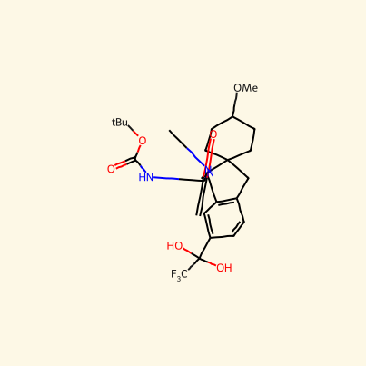 COC1CCC2(CC1)Cc1ccc(C(O)(O)C(F)(F)F)cc1C21N=C(NC(=O)OC(C)(C)C)N(C)C1=O